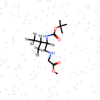 [2H]C([2H])([2H])C([2H])(C([2H])([2H])[2H])C([2H])(CNCC(=O)OC)NC(=O)OC(C)(C)C